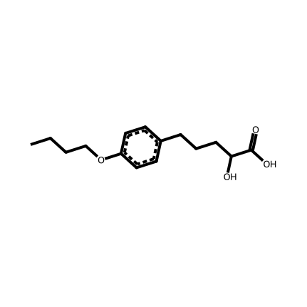 CCCCOc1ccc(CCCC(O)C(=O)O)cc1